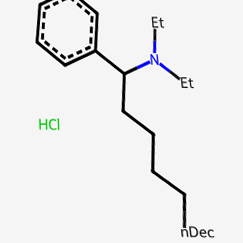 CCCCCCCCCCCCCCC(c1ccccc1)N(CC)CC.Cl